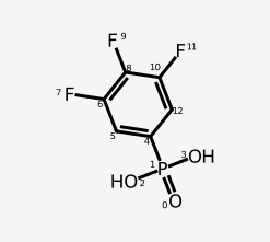 O=P(O)(O)c1cc(F)c(F)c(F)c1